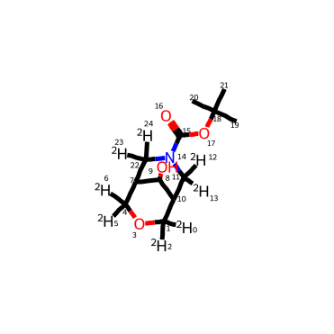 [2H]C1([2H])OC([2H])([2H])C2C(O)C1C([2H])([2H])N(C(=O)OC(C)(C)C)C2([2H])[2H]